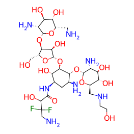 NC[C@@H]1O[C@H](O[C@H]2[C@@H](O)[C@H](O[C@@H]3[C@@H](O)[C@H](NC(=O)C(O)C(F)(F)CN)C[C@H](N)[C@H]3O[C@H]3O[C@H](CNCCO)[C@@H](O)[C@H](O)[C@H]3N)O[C@@H]2CO)[C@H](N)[C@@H](O)[C@@H]1O